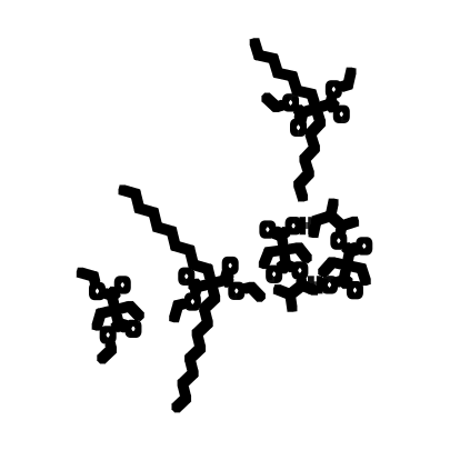 CCC(C)C(C)OC(=O)C(CC)(CC)C(=O)O.CCC(CC)(C(=O)O)C(=O)OC(C)C(C)C.CCCCCCCC(CCCCCCC)(C(=O)OCC)C(=O)OCC.CCCCCCCCCCC(CCCCCCCCCC)(C(=O)OCC)C(=O)OCC.CCOC(=O)C(CC)(CC)C(=O)OCC